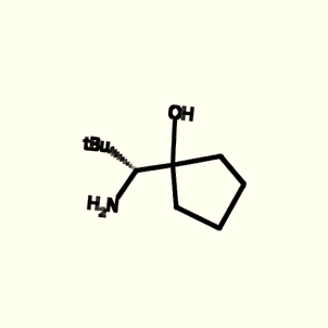 CC(C)(C)[C@@H](N)C1(O)CCCC1